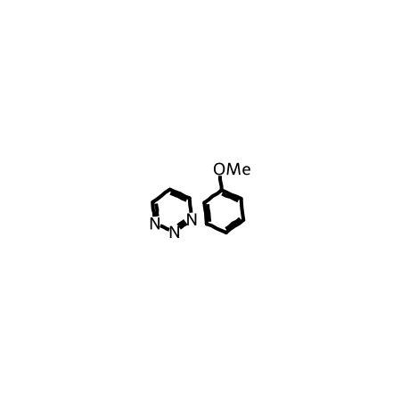 COc1ccccc1.c1cnnnc1